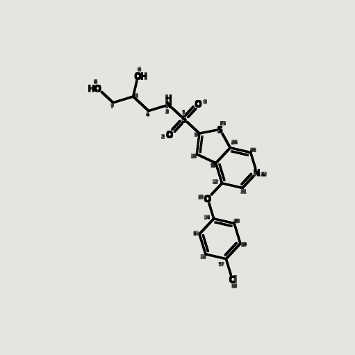 O=S(=O)(NCC(O)CO)c1cc2c(Oc3ccc(Cl)cc3)cncc2s1